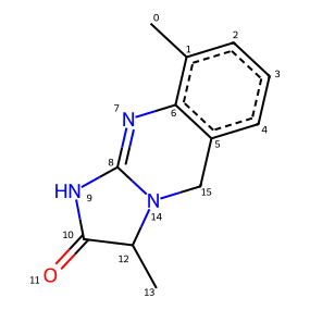 Cc1cccc2c1N=C1NC(=O)C(C)N1C2